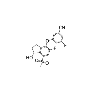 CS(=O)(=O)c1cc(F)c(Oc2cc(F)cc(C#N)c2)c2c1C(O)CC2